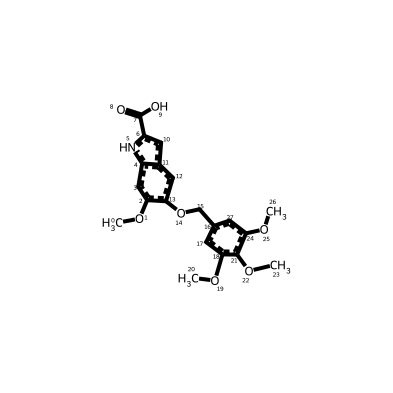 COc1cc2[nH]c(C(=O)O)cc2cc1OCc1cc(OC)c(OC)c(OC)c1